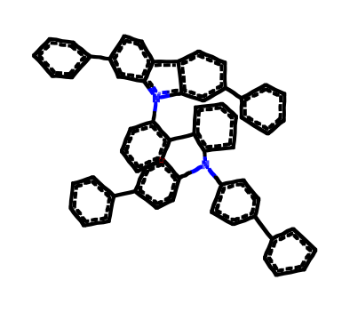 c1ccc(-c2ccc(N(c3ccc(-c4ccccc4)cc3)c3ccccc3-c3ccccc3-n3c4cc(-c5ccccc5)ccc4c4ccc(-c5ccccc5)cc43)cc2)cc1